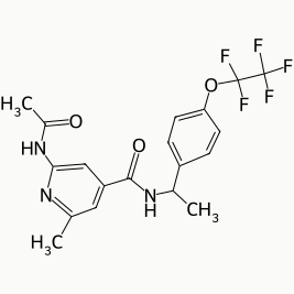 CC(=O)Nc1cc(C(=O)NC(C)c2ccc(OC(F)(F)C(F)(F)F)cc2)cc(C)n1